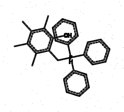 Cc1c(C)c(C)c(C[PH](c2ccccc2)(c2ccccc2)c2ccccc2)c(O)c1C